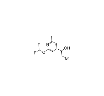 Cc1cc(C(O)CBr)cc(OC(F)F)n1